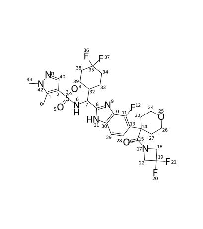 Cc1c(S(=O)(=O)NC(c2nc3c(F)c(C4(C(=O)N5CC(F)(F)C5)CCOCC4)ccc3[nH]2)C2CCC(F)(F)CC2)cnn1C